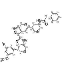 COc1cc(F)cc(-c2cncc3[nH]c(-c4n[nH]c5cnc(-c6cncc(NC(=O)Cc7ccccc7)c6)cc45)nc23)c1